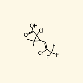 CC1(C)C(C=C(Cl)C(F)(F)F)C1(Cl)C(=O)O